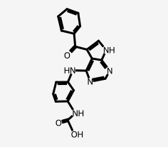 O=C(O)Nc1cccc(Nc2ncnc3[nH]cc(C(=O)c4ccccc4)c23)c1